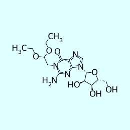 CCOC(Cn1c(N)nc2c(ncn2[C@@H]2O[C@H](CO)[C@@H](O)[C@H]2O)c1=O)OCC